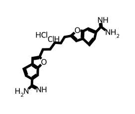 Cl.Cl.N=C(N)c1ccc2cc(CCCCCc3cc4ccc(C(=N)N)cc4o3)oc2c1